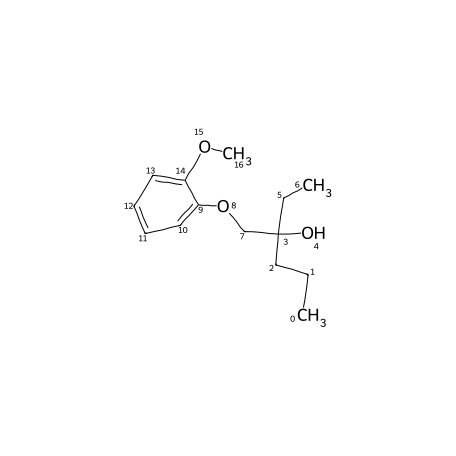 CCCC(O)(CC)COc1ccccc1OC